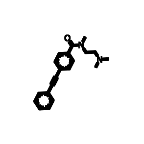 CN(C)CCN(C)C(=O)c1ccc(C#Cc2ccccc2)cc1